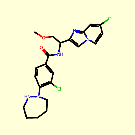 COCC(NC(=O)c1ccc(N2CCCCCN2)c(Cl)c1)c1cn2ccc(Cl)cc2n1